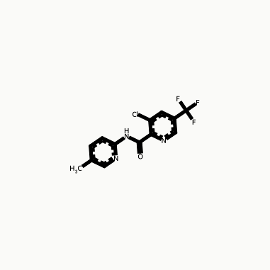 Cc1ccc(NC(=O)c2ncc(C(F)(F)F)cc2Cl)nc1